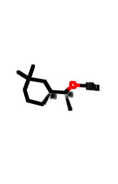 [CH2]C(C)(C)O[C@H](C)[C@@H]1CCCC(C)(C)C1